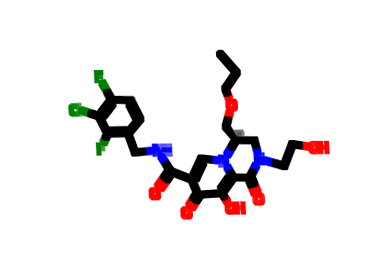 CCCOC[C@H]1CN(CCO)C(=O)c2c(O)c(=O)c(C(=O)NCc3ccc(F)c(Cl)c3F)cn21